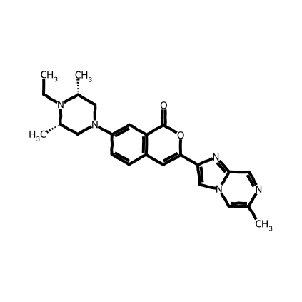 CCN1[C@H](C)CN(c2ccc3cc(-c4cn5cc(C)ncc5n4)oc(=O)c3c2)C[C@@H]1C